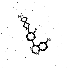 Fc1cc(-c2ncnc3ccc(Br)cc23)ccc1N1CC2(CNC2)C1